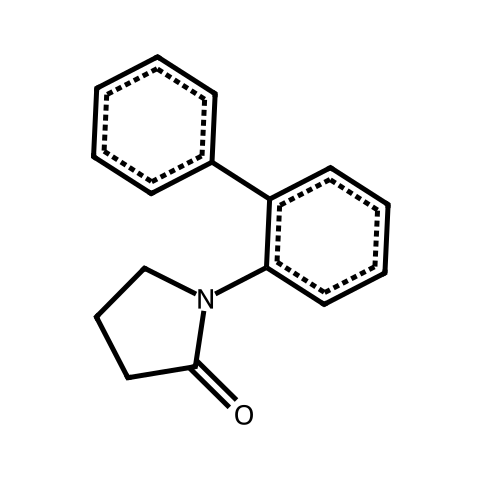 O=C1CCCN1c1ccccc1-c1ccccc1